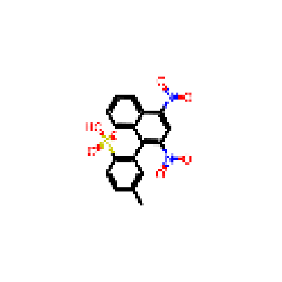 Cc1ccc(S(=O)(=O)O)c(-c2c([N+](=O)[O-])cc([N+](=O)[O-])c3ccccc23)c1